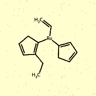 C=[CH][Ru]([C]1=CC=CC1)[C]1=C(CC)C=CC1